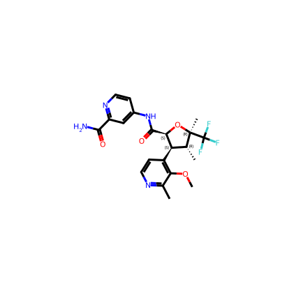 COc1c([C@H]2[C@@H](C(=O)Nc3ccnc(C(N)=O)c3)O[C@@](C)(C(F)(F)F)[C@@H]2C)ccnc1C